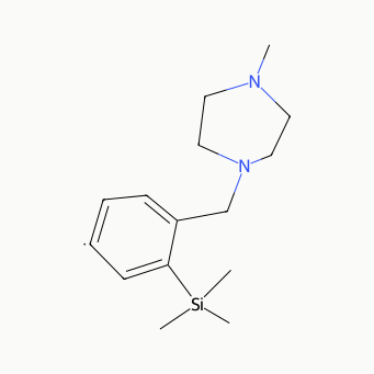 CN1CCN(Cc2cc[c]cc2[Si](C)(C)C)CC1